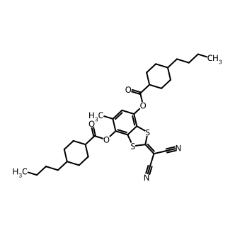 CCCCC1CCC(C(=O)Oc2cc(C)c(OC(=O)C3CCC(CCCC)CC3)c3c2SC(=C(C#N)C#N)S3)CC1